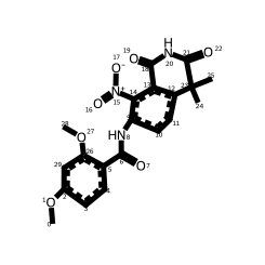 COc1ccc(C(=O)Nc2ccc3c(c2[N+](=O)[O-])C(=O)NC(=O)C3(C)C)c(OC)c1